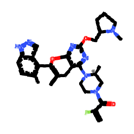 C=C(F)C(=O)N1CCN(c2nc(OCC3CCCN3C)nc3c2CC(C)=C(c2c(C)ccc4[nH]ncc24)O3)[C@@H](C)C1